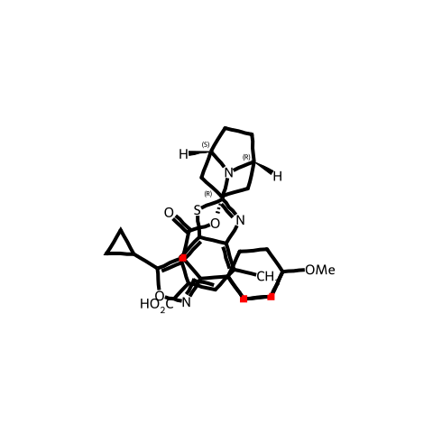 COC12CCC(c3noc(C4CC4)c3C(=O)O[C@H]3C[C@H]4CC[C@@H](C3)N4c3nc4c(C)cc(C(=O)O)cc4s3)(CC1)CC2